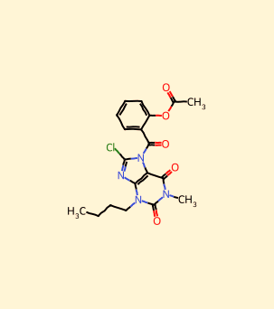 CCCCn1c(=O)n(C)c(=O)c2c1nc(Cl)n2C(=O)c1ccccc1OC(C)=O